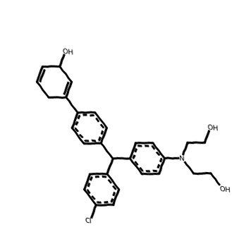 OCCN(CCO)c1ccc(C(c2ccc(Cl)cc2)c2ccc(C3=CC(O)C=CC3)cc2)cc1